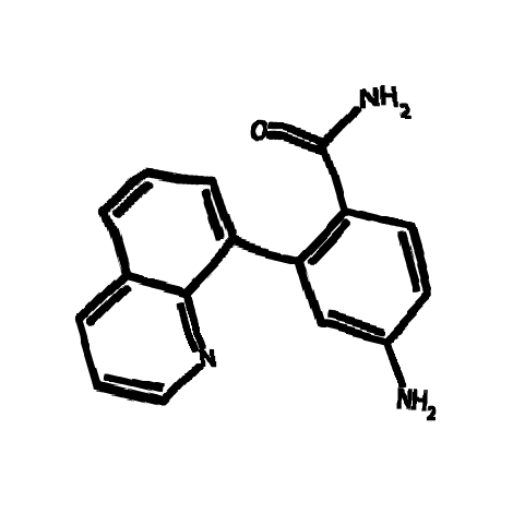 NC(=O)c1ccc(N)cc1-c1cccc2cccnc12